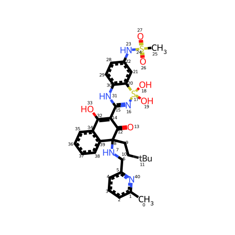 Cc1cccc(CNC2(CCC(C)(C)C)C(=O)C(C3=NS(O)(O)c4cc(NS(C)(=O)=O)ccc4N3)=C(O)c3ccccc32)n1